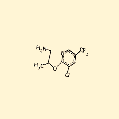 CC(CN)Oc1ncc(C(F)(F)F)cc1Cl